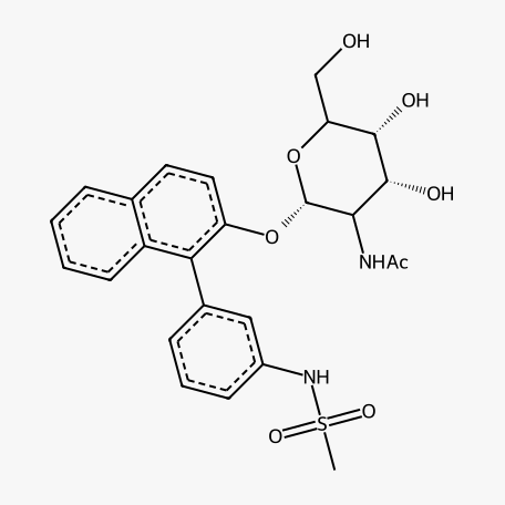 CC(=O)NC1[C@H](Oc2ccc3ccccc3c2-c2cccc(NS(C)(=O)=O)c2)OC(CO)[C@H](O)[C@@H]1O